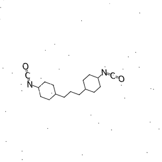 O=C=NC1CCC(CCCC2CCC(N=C=O)CC2)CC1